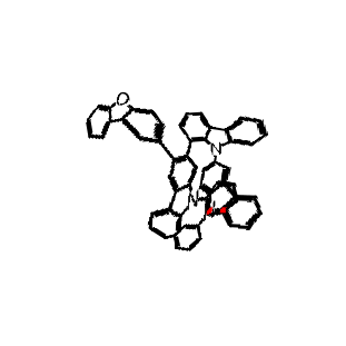 c1ccc(-n2c3ccccc3c3cc(-n4c5ccccc5c5cccc(-c6cc7c(cc6-c6ccc8oc9ccccc9c8c6)c6ccccc6n7-c6ccccc6)c54)ccc32)cc1